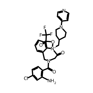 Nc1cc(Cl)ccc1C(=O)N1CC(=O)[N+](CC2CCN(c3ccncc3)CC2)(OC(=O)C(F)(F)F)c2ccccc2C1